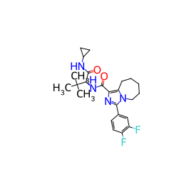 CC(C)(C)[C@H](NC(=O)c1nc(-c2ccc(F)c(F)c2)n2c1CCCCC2)C(=O)NC1CC1